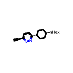 C#Cc1ccc([C@H]2CC[C@H](CCCCCC)CC2)nn1